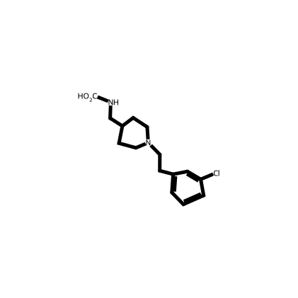 O=C(O)NCC1CCN(CCc2cccc(Cl)c2)CC1